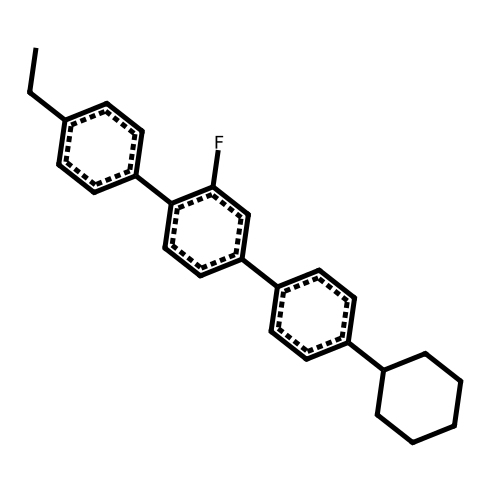 CCc1ccc(-c2ccc(-c3ccc(C4CCCCC4)cc3)cc2F)cc1